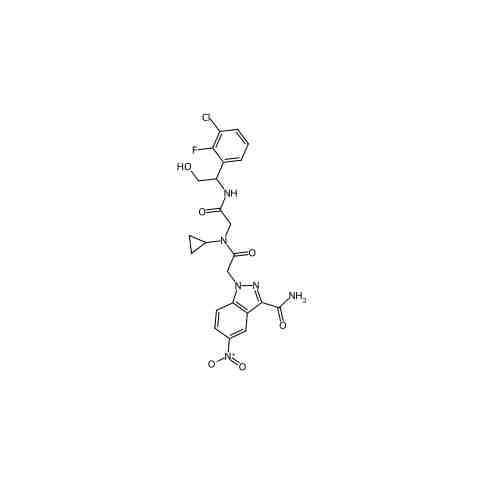 NC(=O)c1nn(CC(=O)N(CC(=O)NC(CO)c2cccc(Cl)c2F)C2CC2)c2ccc([N+](=O)[O-])cc12